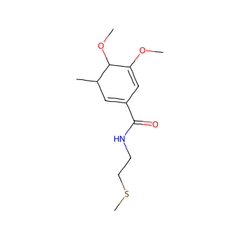 COC1=CC(C(=O)NCCSC)=CC(C)C1OC